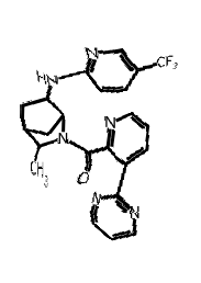 CC1C2CC(Nc3ccc(C(F)(F)F)cn3)C(C2)N1C(=O)c1ncccc1-c1ncccn1